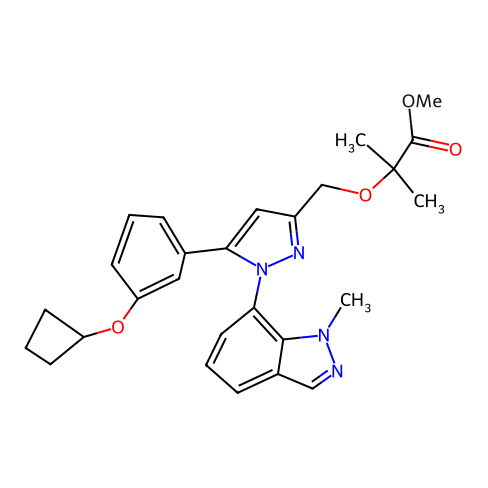 COC(=O)C(C)(C)OCc1cc(-c2cccc(OC3CCC3)c2)n(-c2cccc3cnn(C)c23)n1